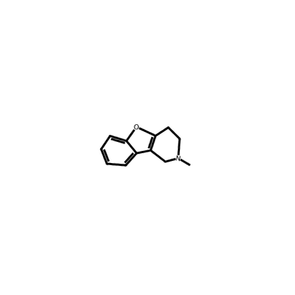 CN1CCc2oc3ccccc3c2C1